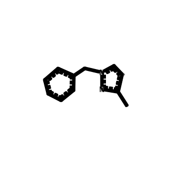 Cc1[c]cn(Cc2ccccc2)n1